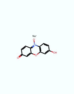 O=c1ccc2[n+]([O-])c3ccc(O)cc3oc-2c1.[Na+]